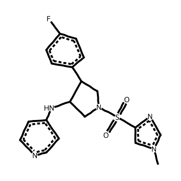 Cn1cnc(S(=O)(=O)N2CC(Nc3ccncc3)C(c3ccc(F)cc3)C2)c1